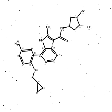 CC(=O)N1C[C@H](NC(=O)c2c(C)[nH]c3c(-c4cc(C)ccc4OCC4CC4)ncnc23)C[C@H]1C